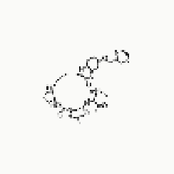 CC[C@@H]1[C@@H]2CN(C(=O)[C@H](C(C)(C)C)NC(=O)O[C@@H]3CCC[C@H]3CCCCCc3nc4ccc(OCc5cnccn5)cc4nc3O2)[C@@H]1C(C)=O